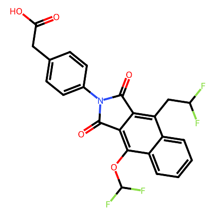 O=C(O)Cc1ccc(N2C(=O)c3c(c(OC(F)F)c4ccccc4c3CC(F)F)C2=O)cc1